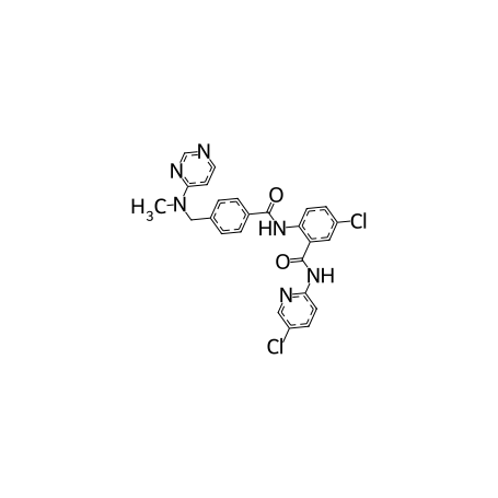 CN(Cc1ccc(C(=O)Nc2ccc(Cl)cc2C(=O)Nc2ccc(Cl)cn2)cc1)c1ccncn1